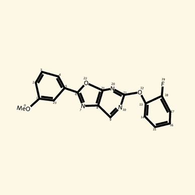 COc1cccc(-c2nc3cnc(Oc4ccccc4F)nc3o2)c1